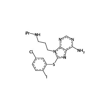 CC(C)NCCCn1c(Sc2cc(Cl)ccc2I)nc2c(N)ncnc21